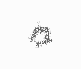 CC(C)(CO[Si](C)(C)C(C)(C)C)n1cc(I)c2cnccc21.C[SiH](OCC(C)(C)N1C=Cc2[nH]cc(C(=O)c3cc(Cl)ccn3)c2C1)C(C)(C)C